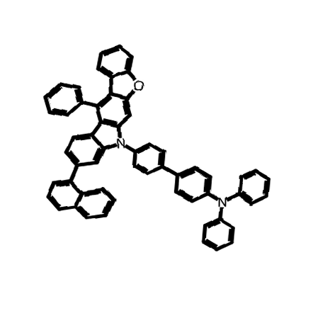 c1ccc(-c2c3c(cc4c2c2ccc(-c5cccc6ccccc56)cc2n4-c2ccc(-c4ccc(N(c5ccccc5)c5ccccc5)cc4)cc2)oc2ccccc23)cc1